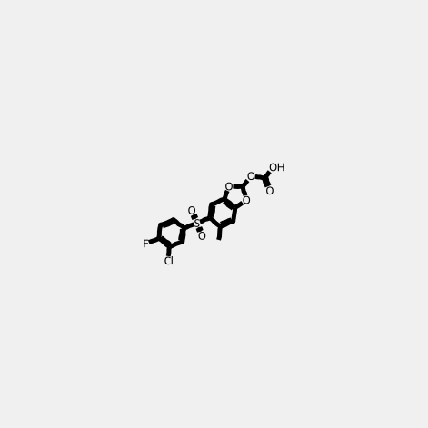 Cc1cc2c(cc1S(=O)(=O)c1ccc(F)c(Cl)c1)OC(OC(=O)O)O2